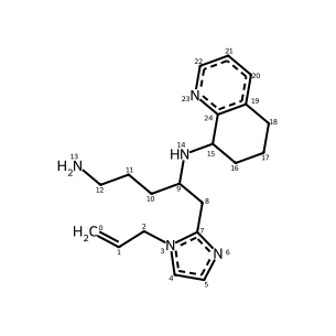 C=CCn1ccnc1CC(CCCN)NC1CCCc2cccnc21